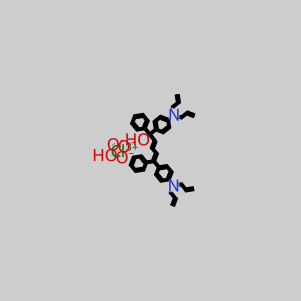 C=CCN(CC=C)c1ccc(C(=CC=CC(O)(c2ccccc2)c2ccc(N(CC=C)CC=C)cc2)c2ccccc2)cc1.[O-][Cl+3]([O-])([O-])O